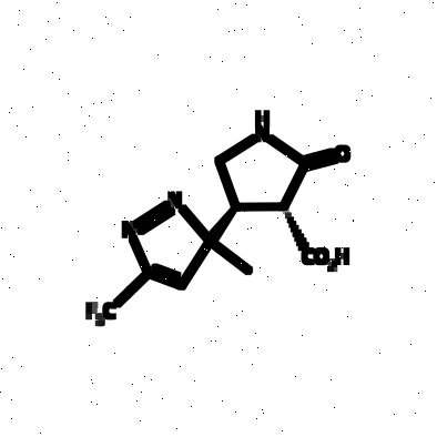 CC1([C@H]2CNC(=O)[C@@H]2C(=O)O)C=C(C(F)(F)F)N=N1